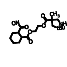 CC(C)(C)CC(C)(CN)C(=O)OCCOC(=O)C1CCCCC1C(=O)N=O